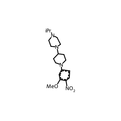 COc1cc(N2CCC(N3CCN(C(C)C)CC3)CC2)ccc1[N+](=O)[O-]